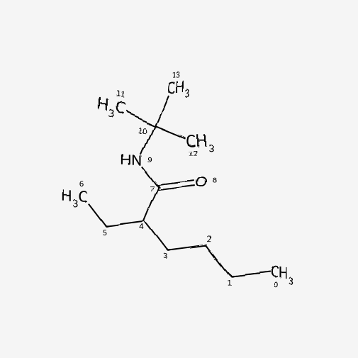 CCCCC(CC)C(=O)NC(C)(C)C